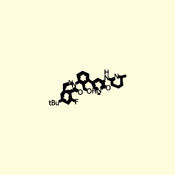 CC1CCCC(Nc2cc(-c3cccc(-n4ncc5cc(C(C)(C)C)cc(F)c5c4=O)c3CO)cn(C)c2=O)=N1